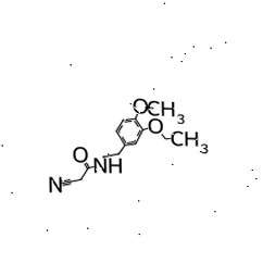 CCOc1cc(CCNC(=O)CC#N)ccc1OC